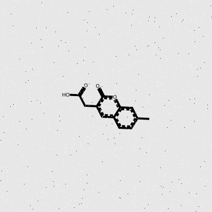 Cc1ccc2cc(CC(=O)O)c(=O)oc2c1